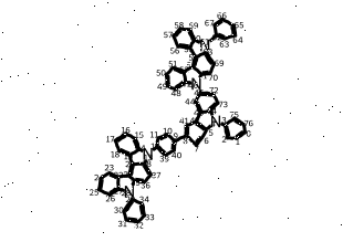 c1ccc(-n2c3ccc(-c4ccc(-n5c6ccccc6c6c7c8ccccc8n(-c8ccccc8)c7ccc65)cc4)cc3c3cc(-n4c5ccccc5c5c6c7ccccc7n(-c7ccccc7)c6ccc54)ccc32)cc1